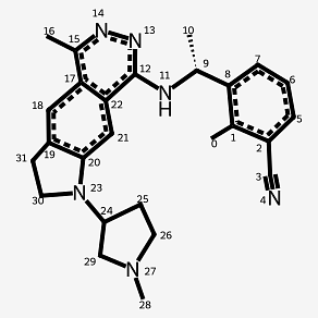 Cc1c(C#N)cccc1[C@@H](C)Nc1nnc(C)c2cc3c(cc12)N(C1CCN(C)C1)CC3